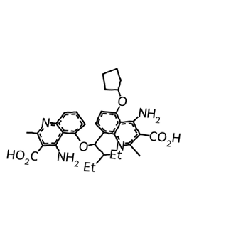 CCC(CC)C(Oc1cccc2nc(C)c(C(=O)O)c(N)c12)c1ccc(OC2CCCC2)c2c(N)c(C(=O)O)c(C)nc12